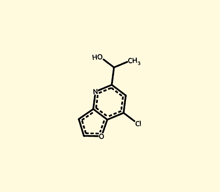 CC(O)c1cc(Cl)c2occc2n1